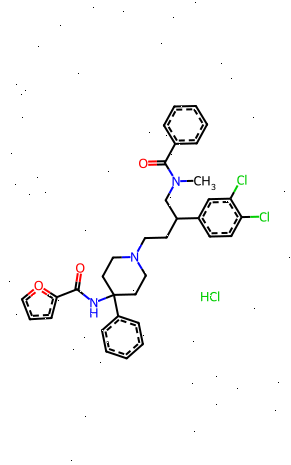 CN(CC(CCN1CCC(NC(=O)c2ccco2)(c2ccccc2)CC1)c1ccc(Cl)c(Cl)c1)C(=O)c1ccccc1.Cl